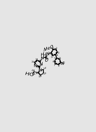 COc1ccc(-c2cccc(F)c2)cc1NC(=O)Nc1ccnc(N2CCC[C@H]2CO)n1